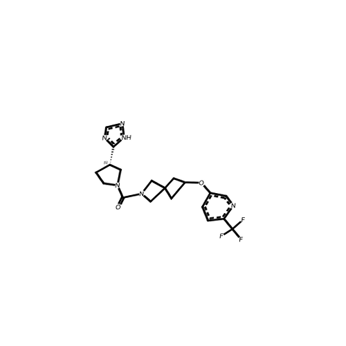 O=C(N1CC[C@H](c2ncn[nH]2)C1)N1CC2(CC(Oc3ccc(C(F)(F)F)nc3)C2)C1